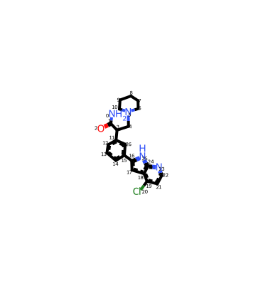 NC(=O)C(CN1CCCCC1)c1cccc(-c2cc3c(Cl)ccnc3[nH]2)c1